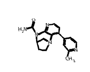 Cc1cc(-c2ccnc3c2N2CCC(C2)N3C(N)=O)ccn1